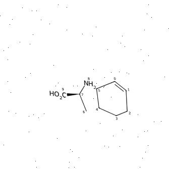 C1=CCCCC1.C[C@H](N)C(=O)O